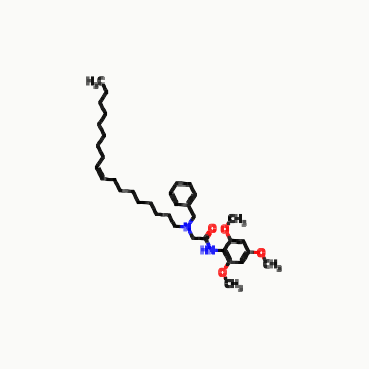 CCCCCCCC/C=C\CCCCCCCCN(CC(=O)Nc1c(OC)cc(OC)cc1OC)Cc1ccccc1